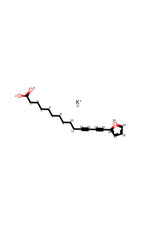 O=C([O-])CCCCCCCCCC#CC#Cc1ccco1.[K+]